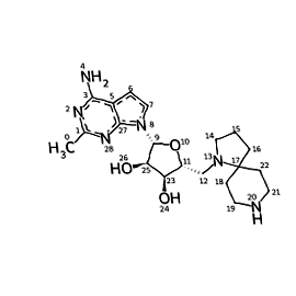 Cc1nc(N)c2ccn([C@@H]3O[C@H](CN4CCCC45CCNCC5)[C@@H](O)[C@H]3O)c2n1